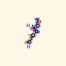 Cc1cc(-c2cncc(N(C(N)=O)[C@H]3CCCN(CC(=O)N(C)C)C3)n2)ccc1OCC1CNC(=O)C1